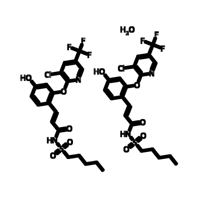 CCCCCS(=O)(=O)NC(=O)C=Cc1ccc(O)cc1Oc1ncc(C(F)(F)F)cc1Cl.CCCCCS(=O)(=O)NC(=O)C=Cc1ccc(O)cc1Oc1ncc(C(F)(F)F)cc1Cl.O